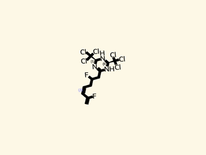 C=C(F)/C=C\CC(F)CC1=N[C@@H](C(Cl)(Cl)Cl)N[C@@H](C(Cl)(Cl)Cl)N1